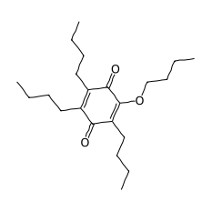 CCCCOC1=C(CCCC)C(=O)C(CCCC)=C(CCCC)C1=O